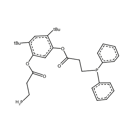 CC(C)(C)c1cc(C(C)(C)C)c(OC(=O)CCP(c2ccccc2)c2ccccc2)cc1OC(=O)CCP